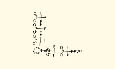 CCCn1ccnc1.O=C([O-])C(F)(F)F.O=C([O-])C(F)(F)F.O=C([O-])C(F)(F)F.O=C([O-])C(F)(F)F.O=C([O-])C(F)(F)F.[F].[V+5]